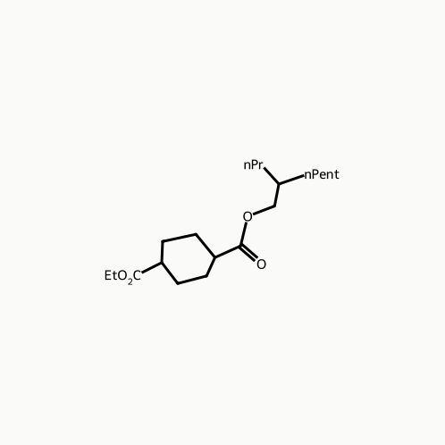 CCCCCC(CCC)COC(=O)C1CCC(C(=O)OCC)CC1